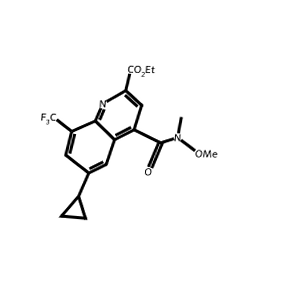 CCOC(=O)c1cc(C(=O)N(C)OC)c2cc(C3CC3)cc(C(F)(F)F)c2n1